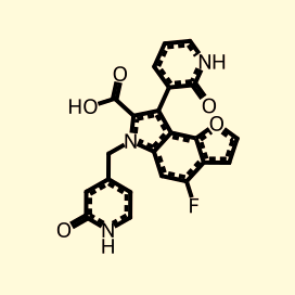 O=C(O)c1c(-c2ccc[nH]c2=O)c2c3occc3c(F)cc2n1Cc1cc[nH]c(=O)c1